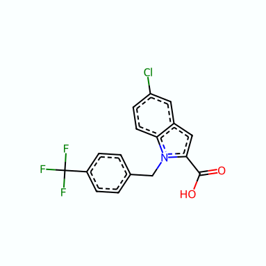 O=C(O)c1cc2cc(Cl)ccc2n1Cc1ccc(C(F)(F)F)cc1